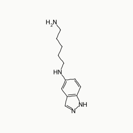 NCCCCCNc1ccc2[nH]ncc2c1